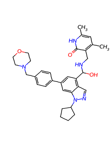 Cc1cc(C)c(CNC(O)c2cc(-c3ccc(CN4CCOCC4)cc3)cc3c2cnn3C2CCCC2)c(=O)[nH]1